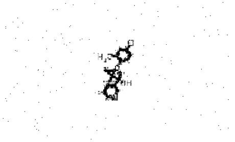 Cc1cc(Cl)ccc1OCC(O)(c1cccnc1)C1(Cl)CC1